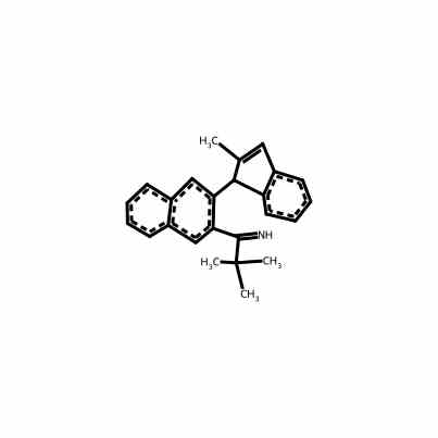 CC1=Cc2ccccc2C1c1cc2ccccc2cc1C(=N)C(C)(C)C